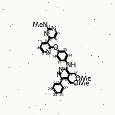 CNc1nccc(-c2cccnc2Oc2ccc(Nc3nnc(-c4ccccc4)c(COC)c3COC)cc2)n1